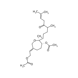 CC(=O)OC/C=C1\CC[C@@H](OC(C)=O)[C@](C)(CCCC(C)C(=O)CC=C(C)C)OC1